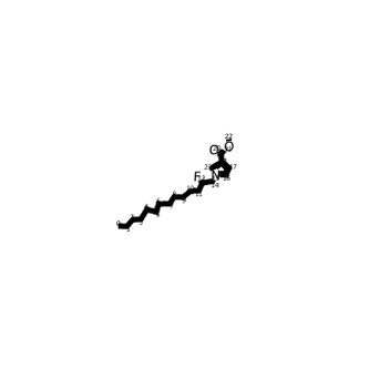 CCCCCCCCCCCCC(F)Cn1ccc(C(=O)OC)c1